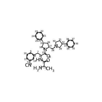 CC(N)C(=O)NC(Cc1cccc(C#N)c1)C(=O)N1C[C@@H](c2ccccc2)C[C@H]1CN1CCC(c2ccccc2)C1